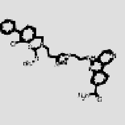 CC(C)(C)OC(=O)N(CCc1cn(CCNc2nc3cc(C(N)=O)ccc3c3cnccc23)nn1)Cc1ccc(-c2ccccc2)c(Cl)c1